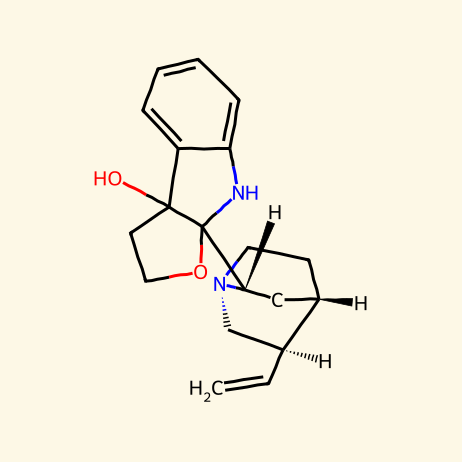 C=C[C@H]1C[N@]2CC[C@H]1C[C@H]2C12Nc3ccccc3C1(O)CCO2